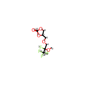 COC(F)(COCC1COC(=O)O1)C(F)(F)F